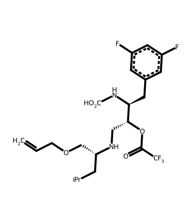 C=CCOC[C@@H](CC(C)C)NC[C@@H](OC(=O)C(F)(F)F)[C@H](Cc1cc(F)cc(F)c1)NC(=O)O